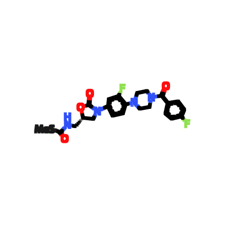 CSC(=O)NC[C@H]1CN(c2ccc(N3CCN(C(=O)c4ccc(F)cc4)CC3)c(F)c2)C(=O)O1